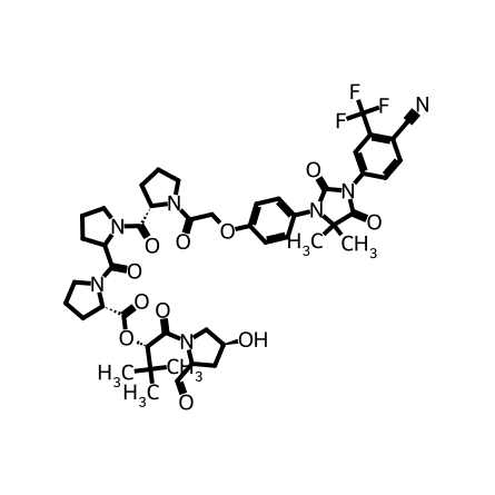 CC(C)(C)[C@H](OC(=O)[C@@H]1CCCN1C(=O)C1CCCN1C(=O)[C@@H]1CCCN1C(=O)COc1ccc(N2C(=O)N(c3ccc(C#N)c(C(F)(F)F)c3)C(=O)C2(C)C)cc1)C(=O)N1C[C@@H](O)CC1C=O